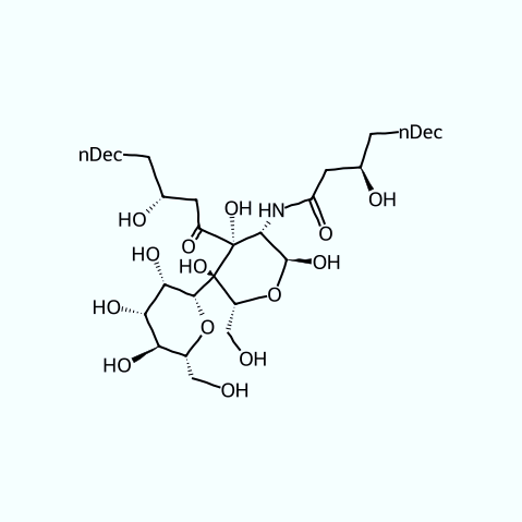 CCCCCCCCCCC[C@@H](O)CC(=O)N[C@@H]1[C@@H](O)O[C@H](CO)[C@](O)([C@@H]2O[C@H](CO)[C@@H](O)[C@H](O)[C@@H]2O)[C@@]1(O)C(=O)C[C@H](O)CCCCCCCCCCC